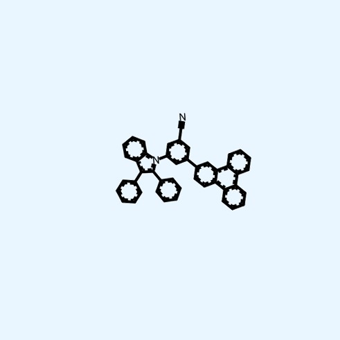 N#Cc1cc(-c2ccc3c4ccccc4c4ccccc4c3c2)cc(-n2c(-c3ccccc3)c(-c3ccccc3)c3ccccc32)c1